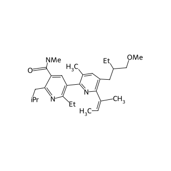 C/C=C(/C)c1nc(-c2cc(C(=O)NC)c(CC(C)C)nc2CC)c(C)cc1CC(CC)COC